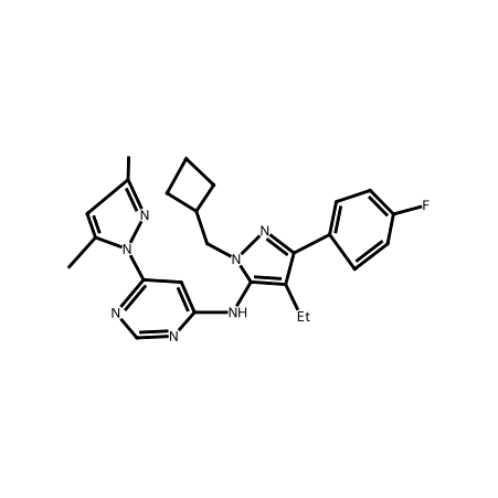 CCc1c(-c2ccc(F)cc2)nn(CC2CCC2)c1Nc1cc(-n2nc(C)cc2C)ncn1